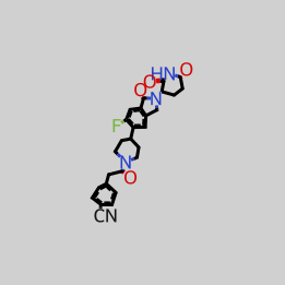 N#Cc1ccc(CC(=O)N2CCC(c3cc4c(cc3F)C(=O)N(C3CCC(=O)NC3=O)C4)CC2)cc1